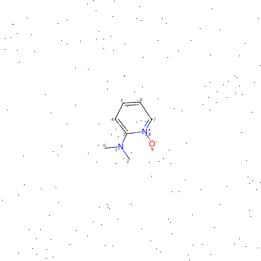 CN(C)c1cccc[n+]1[O-]